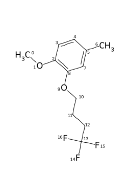 COc1ccc(C)cc1OCCCC(F)(F)F